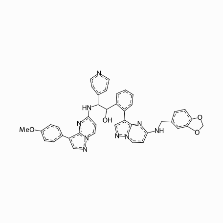 COc1ccc(-c2cnn3ccc(NC(c4ccncc4)C(O)c4ccccc4-c4cnn5ccc(NCc6ccc7c(c6)OCO7)nc45)nc23)cc1